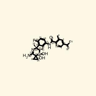 Cc1cc(C(F)F)cnc1C(=O)Nc1ccc(F)c([C@@]2(C)N=C(N)C3(CC3)S(O)(O)[C@@H]2F)c1